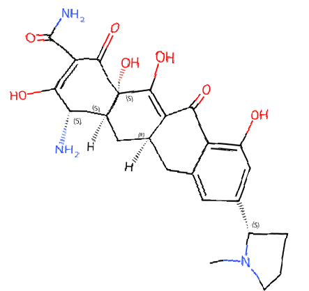 CN1CCC[C@H]1c1cc(O)c2c(c1)C[C@H]1C[C@H]3[C@H](N)C(O)=C(C(N)=O)C(=O)[C@@]3(O)C(O)=C1C2=O